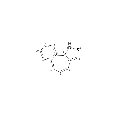 C1=CC2=CSNC2=c2ccccc2=C1